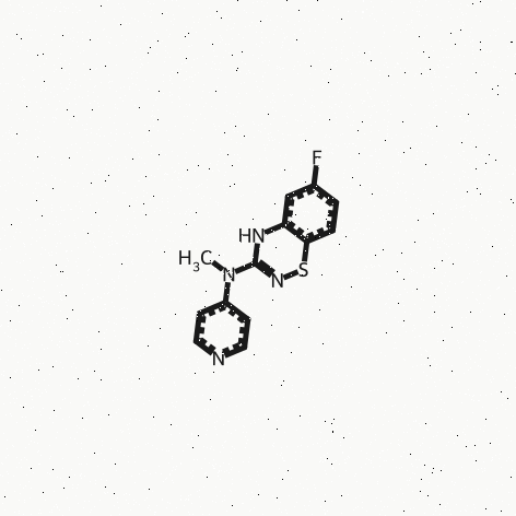 CN(C1=NSc2ccc(F)cc2N1)c1ccncc1